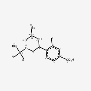 Cc1cc(C(=O)O)ccc1C(CO[Si](C)(C)C(C)(C)C)N[S@@+]([O-])C(C)(C)C